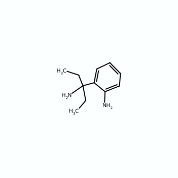 CCC(N)(CC)c1ccccc1N